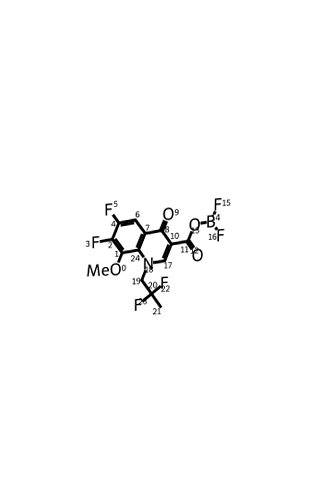 COc1c(F)c(F)cc2c(=O)c(C(=O)OB(F)F)cn(CC(C)(F)F)c12